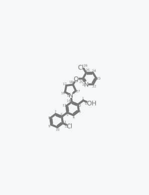 OCc1ccc(-c2ccccc2Cl)cc1N1CCC(Oc2ncccc2Cl)C1